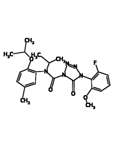 COc1cccc(F)c1-n1nnn(C(=O)N(c2cc(C)ccc2OC(C)C)C(C)C)c1=O